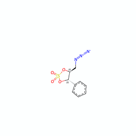 [N-]=[N+]=NC[C@@H]1OS(=O)(=O)O[C@H]1c1ccccc1